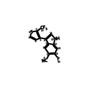 N#Cc1cc2c(-c3ccsc3C(F)(F)F)c[nH]c2cc1F